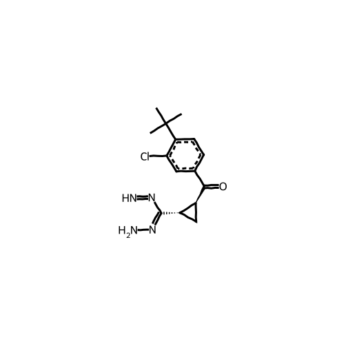 CC(C)(C)c1ccc(C(=O)[C@H]2C[C@@H]2/C(N=N)=N/N)cc1Cl